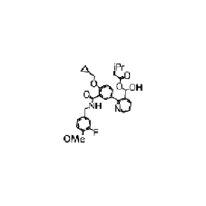 COc1ccc(CNC(=O)c2cc(-c3ncccc3C(O)OC(=O)CC(C)C)ccc2OCC2CC2)cc1F